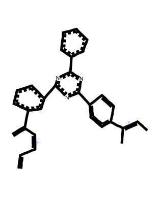 C=C/C=C\C(=C)c1cccc(-c2nc(C3=C=C=C(/C(C)=C/C)C=C3)nc(-c3ccccc3)n2)c1